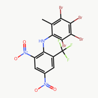 Cc1c(Br)c(Br)c(Br)c(Br)c1Nc1c([N+](=O)[O-])cc([N+](=O)[O-])cc1C(F)(F)F